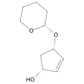 O[C@H]1C=C[C@@H](O[C@H]2CCCCO2)C1